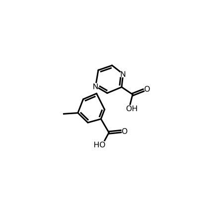 Cc1cccc(C(=O)O)c1.O=C(O)c1cnccn1